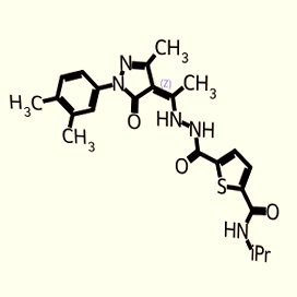 CC1=NN(c2ccc(C)c(C)c2)C(=O)/C1=C(/C)NNC(=O)c1ccc(C(=O)NC(C)C)s1